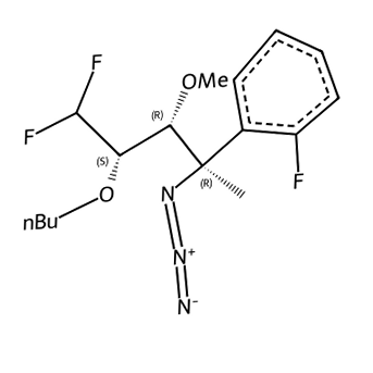 CCCCO[C@H](C(F)F)[C@H](OC)[C@](C)(N=[N+]=[N-])c1ccccc1F